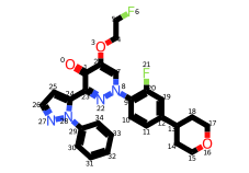 O=c1c(OCCF)cn(-c2ccc(C3CCOCC3)cc2F)nc1-c1ccnn1-c1ccccc1